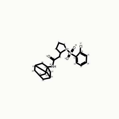 O=C(CC1CCCN1S(=O)(=O)c1ccccc1Cl)NC12CC3CC(CC(C3)C1)C2